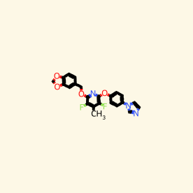 Cc1c(F)c(OCc2ccc3c(c2)OCO3)nc(Oc2ccc(-n3ccnc3)cc2)c1F